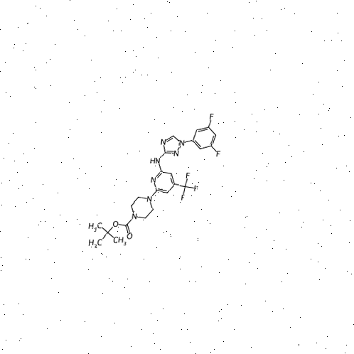 CC(C)(C)OC(=O)N1CCN(c2cc(C(F)(F)F)cc(Nc3ncn(-c4cc(F)cc(F)c4)n3)n2)CC1